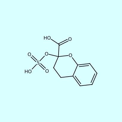 O=C(O)C1(OS(=O)(=O)O)CCc2ccccc2O1